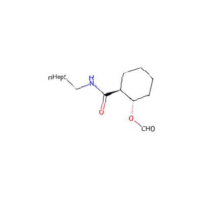 CCCCCCCCNC(=O)[C@H]1CCCC[C@@H]1OC=O